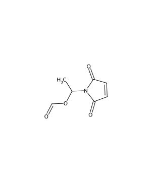 CC(OC=O)N1C(=O)C=CC1=O